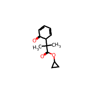 CC(C)(C(=O)OC1CC1)C1C=CC=CC1=O